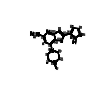 CN1CCN(c2cc(N)nc3cc(-c4ccn[nH]4)sc23)CC1